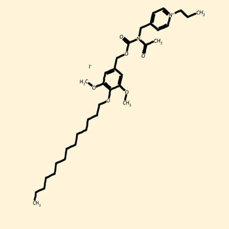 CCCCCCCCCCCCCCOc1c(OC)cc(COC(=O)N(Cc2cc[n+](CCC)cc2)C(C)=O)cc1OC.[I-]